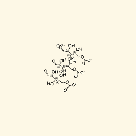 O=C[C@@H](O)[C@H](O)[C@H](O)COC(=O)[O-].O=C[C@@H](O)[C@H](O)[C@H](O)COC(=O)[O-].O=C[C@@H](O)[C@H](O)[C@H](O)COC(=O)[O-].[Cr+3]